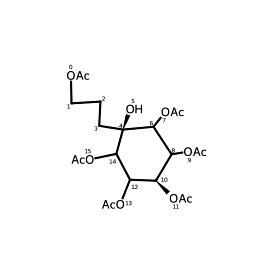 CC(=O)OCCC[C@]1(O)C(OC(C)=O)C(OC(C)=O)[C@@H](OC(C)=O)C(OC(C)=O)C1OC(C)=O